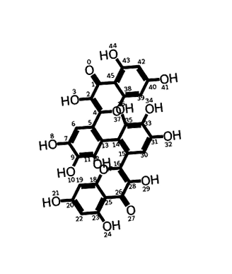 O=c1c(O)c(-c2cc(O)c(O)c(O)c2-c2c(-c3oc4cc(O)cc(O)c4c(=O)c3O)cc(O)c(O)c2O)oc2cc(O)cc(O)c12